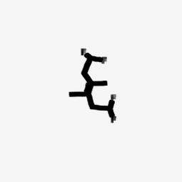 CC(CC(F)F)=C(C)CC(F)F